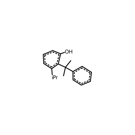 CC(C)c1cccc(O)c1C(C)(C)c1ccccc1